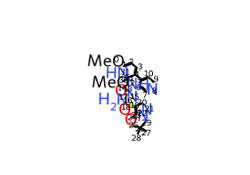 COC1=CC=C(c2ccncc2)C(NC(=O)N=[S@](N)(=O)c2cnn3c2OCC(C)(C)C3)(OC)N1